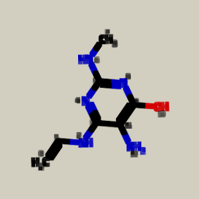 C=CNc1nc(NC)nc(O)c1N